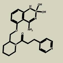 NC1=NS(O)(O)Nc2cccc(OCC3CCCCN3C(=O)CCc3ccncc3)c21